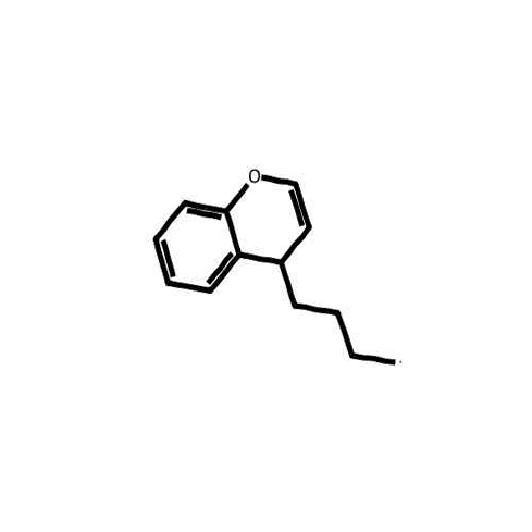 [CH2]CCCC1C=COc2ccccc21